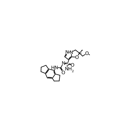 COC[C@@]1(C)Cn2ncc(S(N)(=O)=NC(=O)Nc3c4c(cc5c3CCC5)CCC4)c2O1